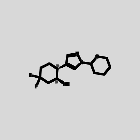 O[C@H]1CC(F)(F)CC[C@@H]1c1cnn(C2CCCCO2)c1